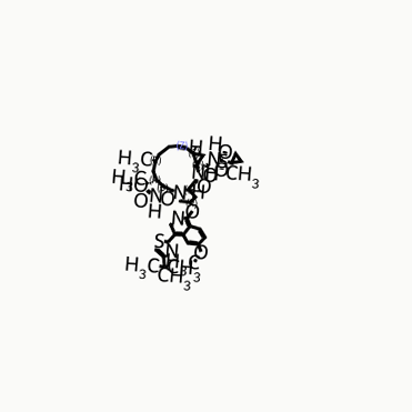 CC[C@@H]1C[C@H](C)CC/C=C\[C@@H]2C[C@@]2(C(=O)NS(=O)(=O)C2(C)CC2)NC(=O)[C@@H]2C[C@@H](Oc3ncc(-c4nc(C(C)(C)C)cs4)c4cc(OC)ccc34)CN2C(=O)[C@H]1NC(=O)O